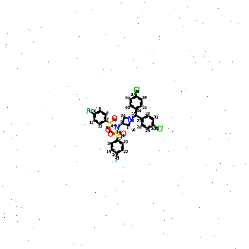 C[C@@H]1[C@@H](N(S(=O)(=O)c2ccc(F)cc2)S(=O)(=O)c2ccc(F)cc2)CN1C(c1ccc(Cl)cc1)c1ccc(Cl)cc1